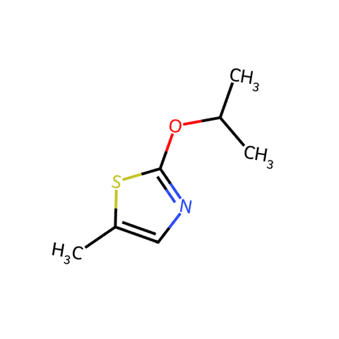 Cc1cnc(OC(C)C)s1